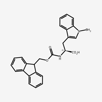 Bn1cc(C[C@H](NC(=O)OCC2c3ccccc3-c3ccccc32)C(=O)O)c2ccccc21